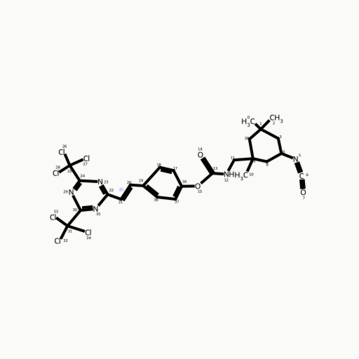 CC1(C)CC(N=C=O)CC(C)(CNC(=O)Oc2ccc(/C=C/c3nc(C(Cl)(Cl)Cl)nc(C(Cl)(Cl)Cl)n3)cc2)C1